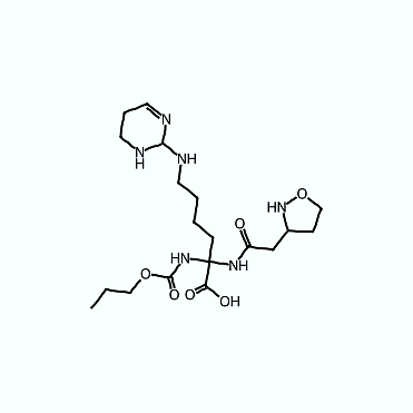 CCCOC(=O)NC(CCCCNC1N=CCCN1)(NC(=O)CC1CCON1)C(=O)O